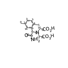 Cc1ccc(C)c(C(C(N)=O)N(CC(=O)O)CC(=O)O)c1